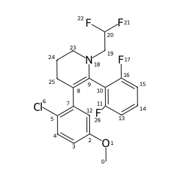 COc1ccc(Cl)c(C2=C(c3c(F)cccc3F)N(CC(F)F)CCC2)c1